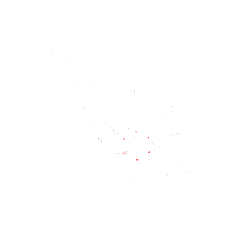 CC(C)(C)c1ccc2c(c1)C1(c3ccccc3Oc3ccc(N(c4ccccc4-c4ccc(-c5ccccc5)cc4)c4cccc5c4Oc4ccccc4C54c5cc(C(C)(C)C)ccc5-c5ccc(C(C)(C)C)cc54)cc31)c1cc(C(C)(C)C)ccc1-2